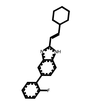 Fc1ccccc1-c1ccc2[nH]c(/C=C/C3CCCCC3)nc2c1